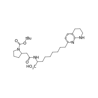 CC(C)(C)OC(=O)N1CCCC1CC(=O)NC(CCCCCCCc1ccc2c(n1)NCCC2)C(=O)O